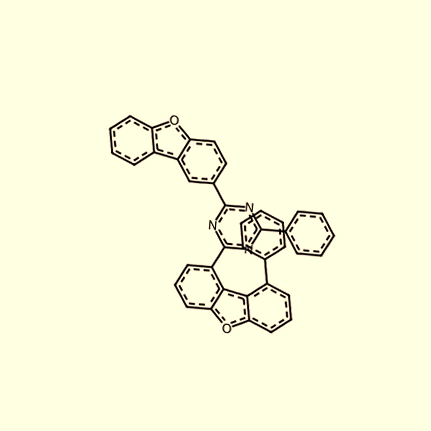 c1ccc(-c2nc(-c3ccc4oc5ccccc5c4c3)nc(-c3cccc4oc5cccc(-c6ccccc6)c5c34)n2)cc1